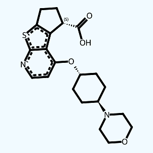 O=C(O)[C@H]1CCc2sc3nccc(O[C@H]4CC[C@H](N5CCOCC5)CC4)c3c21